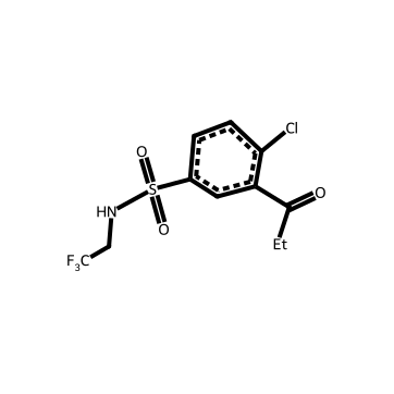 CCC(=O)c1cc(S(=O)(=O)NCC(F)(F)F)ccc1Cl